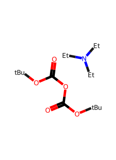 CC(C)(C)OC(=O)OC(=O)OC(C)(C)C.CCN(CC)CC